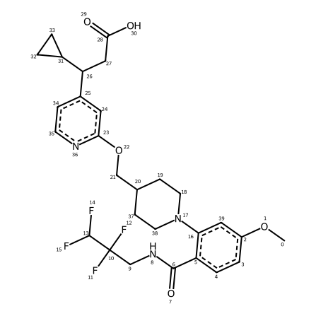 COc1ccc(C(=O)NCC(F)(F)C(F)F)c(N2CCC(COc3cc(C(CC(=O)O)C4CC4)ccn3)CC2)c1